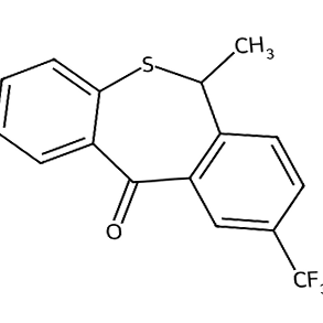 CC1Sc2ccccc2C(=O)c2cc(C(F)(F)F)ccc21